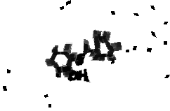 O[C@H]1CCCCC1SCc1ccccc1